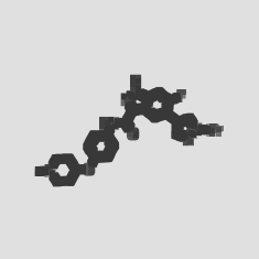 CC(C)n1cc(-c2cc3c(C(=O)Nc4ccc(OC5CCN(C)CC5)cc4)n[nH]c3cc2F)cn1